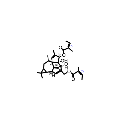 C/C=C(/C)C(=O)OCC1=C[C@@H]2C(=O)[C@]3(C=C(C)[C@H](OC(=O)/C(C)=C\C)[C@@]3(O)[C@@H]1O)[C@H](C)CC1C2C1(C)C